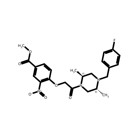 COC(=O)c1ccc(OCC(=O)N2C[C@@H](C)N(Cc3ccc(F)cc3)C[C@@H]2C)c([N+](=O)[O-])c1